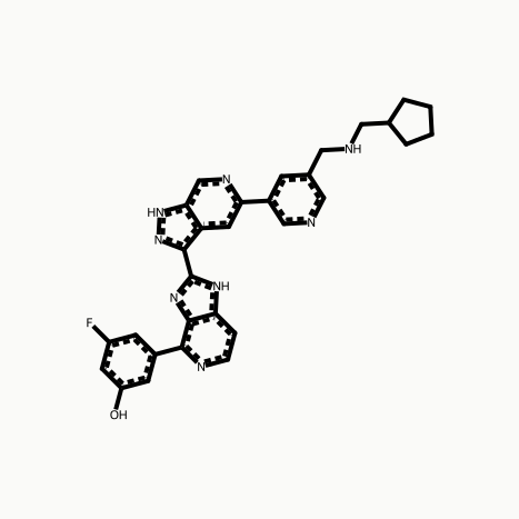 Oc1cc(F)cc(-c2nccc3[nH]c(-c4n[nH]c5cnc(-c6cncc(CNCC7CCCC7)c6)cc45)nc23)c1